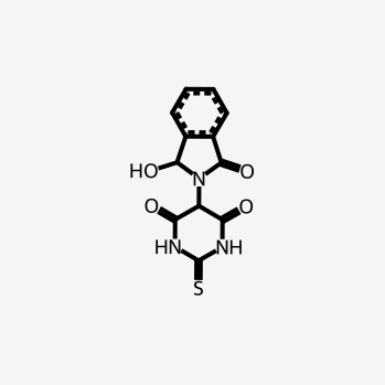 O=C1NC(=S)NC(=O)C1N1C(=O)c2ccccc2C1O